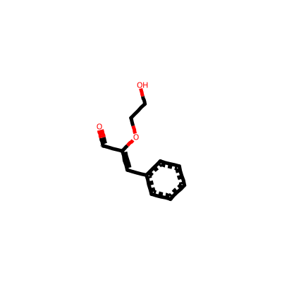 O=[C]C(=Cc1ccccc1)OCCO